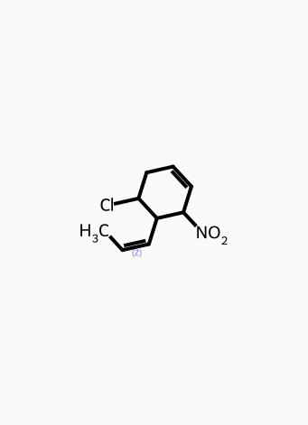 C/C=C\C1C(Cl)CC=CC1[N+](=O)[O-]